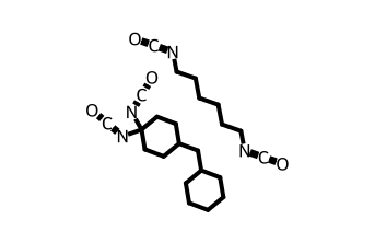 O=C=NC1(N=C=O)CCC(CC2CCCCC2)CC1.O=C=NCCCCCCN=C=O